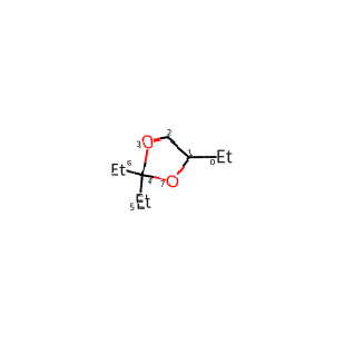 CCC1COC(CC)(CC)O1